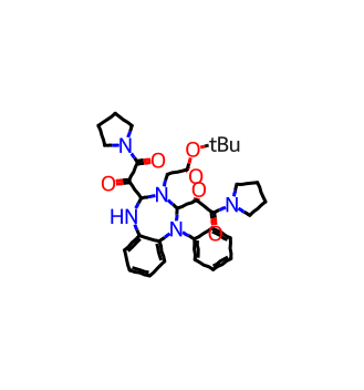 CC(C)(C)OC(=O)CN1C(C(=O)C(=O)N2CCCC2)Nc2ccccc2N(c2ccccc2)C1C(=O)C(=O)N1CCCC1